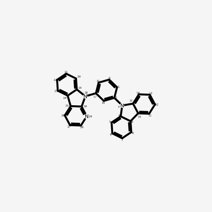 c1cc(-n2c3ccccc3c3ccccc32)cc(-n2c3ccccc3c3cccnc32)c1